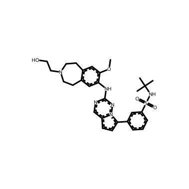 COc1cc2c(cc1Nc1ncc3ccc(-c4cccc(S(=O)(=O)NC(C)(C)C)c4)n3n1)CCN(CCO)CC2